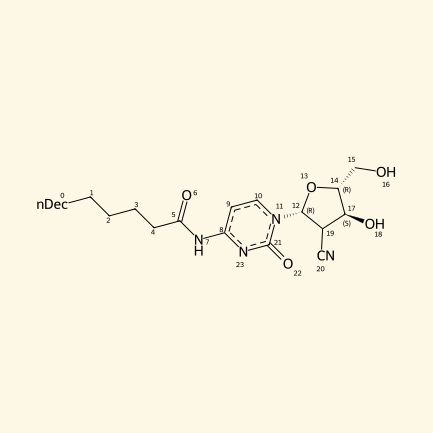 CCCCCCCCCCCCCCC(=O)Nc1ccn([C@@H]2O[C@H](CO)[C@@H](O)C2C#N)c(=O)n1